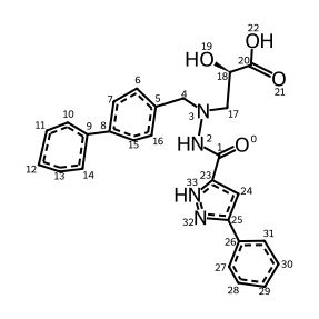 O=C(NN(Cc1ccc(-c2ccccc2)cc1)C[C@@H](O)C(=O)O)c1cc(-c2ccccc2)n[nH]1